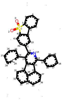 O=S1(=O)c2ccccc2-c2cc(-c3nc(-c4ccccc4)c4c(c3-c3ccccc3)-c3cccc5cccc-4c35)ccc21